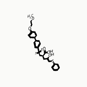 COCCOc1ccc(-c2ccc(C(F)(F)CC(CC(O)CSc3ccccc3)C(=O)O)cc2)cc1